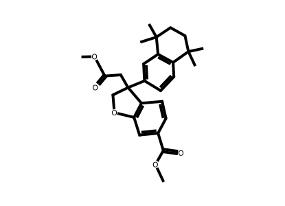 COC(=O)CC1(c2ccc3c(c2)C(C)(C)CCC3(C)C)COc2cc(C(=O)OC)ccc21